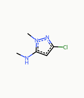 CNc1cc(Cl)nn1C